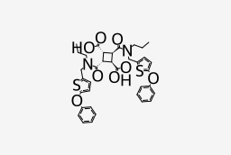 CCCN(Cc1ccc(Oc2ccccc2)s1)C(=O)[C@H]1[C@H](C(=O)O)[C@H](C(=O)N(CCC)Cc2ccc(Oc3ccccc3)s2)[C@H]1C(=O)O